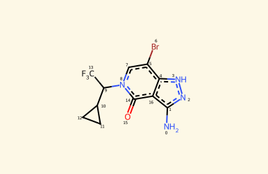 Nc1n[nH]c2c(Br)cn(C(C3CC3)C(F)(F)F)c(=O)c12